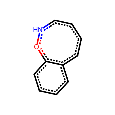 c1ccc2ccccc2o[nH]c1